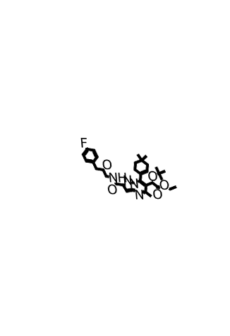 CCOC(=O)[C@@H](OC(C)(C)C)c1c(C)nc2cc(C(=O)NCC(=O)Cc3ccc(F)cc3)nn2c1C1=CCC(C)(C)CC1